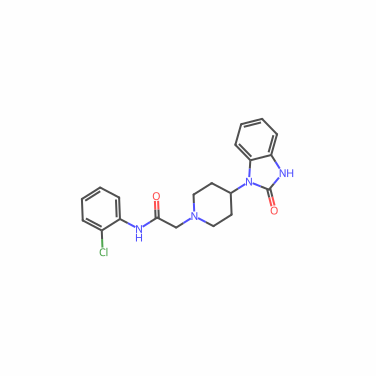 O=C(CN1CCC(n2c(=O)[nH]c3ccccc32)CC1)Nc1ccccc1Cl